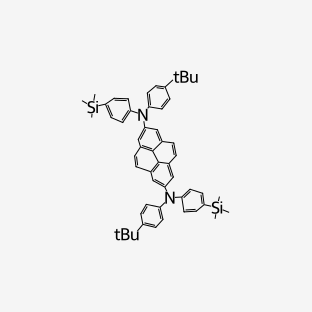 CC(C)(C)c1ccc(N(c2ccc([Si](C)(C)C)cc2)c2cc3ccc4cc(N(c5ccc(C(C)(C)C)cc5)c5ccc([Si](C)(C)C)cc5)cc5ccc(c2)c3c45)cc1